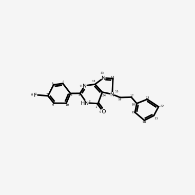 O=c1[nH]c(-c2ccc(F)cc2)nc2ncn(CCc3ccccc3)c12